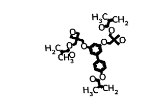 C=C(C)C(=O)OCC1(COc2cc(OCC3(COC(=O)C(=C)C)COC3)cc(-c3ccc(OC(=O)C(=C)C)cc3)c2)COC1